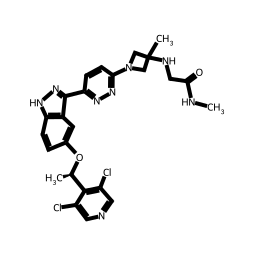 CNC(=O)CNC1(C)CN(c2ccc(-c3n[nH]c4ccc(O[C@H](C)c5c(Cl)cncc5Cl)cc34)nn2)C1